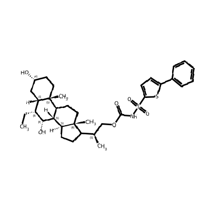 CC[C@H]1[C@@H](O)[C@@H]2C(CC[C@]3(C)C([C@H](C)COC(=O)NS(=O)(=O)c4ccc(-c5ccccc5)s4)CC[C@@H]23)[C@@]2(C)CC[C@@H](O)C[C@@H]12